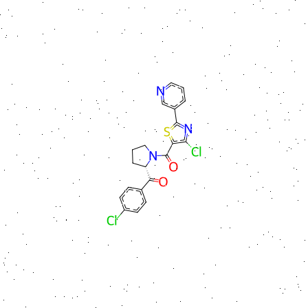 O=C(c1ccc(Cl)cc1)[C@@H]1CCCN1C(=O)c1sc(-c2cccnc2)nc1Cl